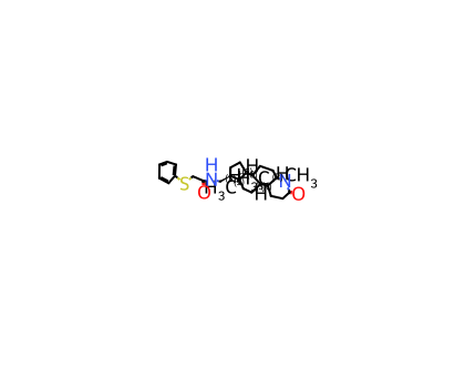 CN1C(=O)CC[C@]2(C)[C@H]3CC[C@]4(C)[C@@H](CNC(=O)CSc5ccccc5)CC[C@H]4[C@@H]3CC[C@@H]12